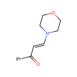 CC(C)C(=O)C=CN1CCOCC1